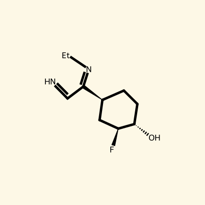 CC/N=C(\C=N)[C@H]1CC[C@H](O)[C@@H](F)C1